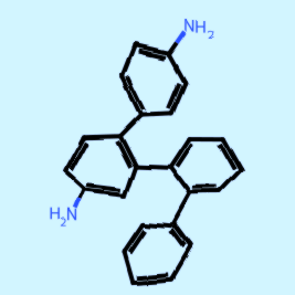 Nc1ccc(-c2ccc(N)cc2-c2ccccc2-c2ccccc2)cc1